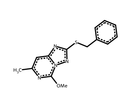 COc1nc(C)cc2nc(SCc3ccccc3)nn12